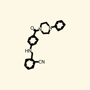 N#Cc1ccccc1CNc1ccc(C(=O)N2CCN(c3ccccc3)CC2)cc1